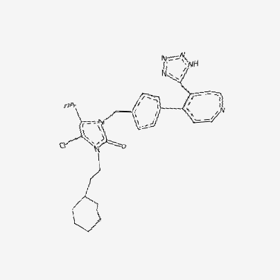 CCCc1c(Cl)n(CCC2CCCCC2)c(=O)n1Cc1ccc(-c2ccncc2-c2nnn[nH]2)cc1